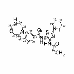 C=CC(=O)Nc1nc(N2CCCCC2)sc1NC(=O)c1ccc2cc3n(c2c1)CCNCOC3